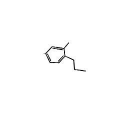 CCCc1cc[c]cc1C